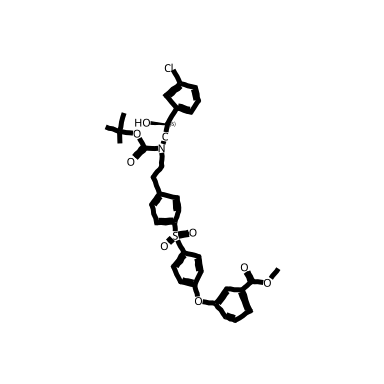 COC(=O)c1cccc(Oc2ccc(S(=O)(=O)c3ccc(CCN(C[C@@H](O)c4cccc(Cl)c4)C(=O)OC(C)(C)C)cc3)cc2)c1